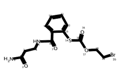 NC(=O)CCNC(=O)c1ccccc1SC(=O)OCCBr